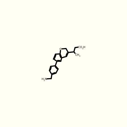 CC(CC(=O)O)C1=Cc2cc(-c3ccc(CN)cc3)ccc2OC1